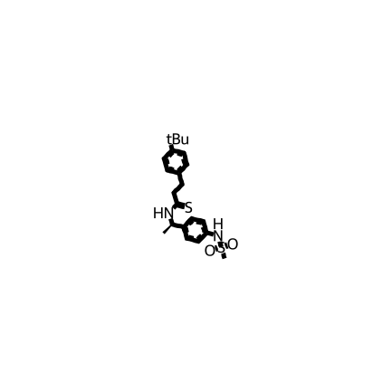 C[C@@H](NC(=S)CCc1ccc(C(C)(C)C)cc1)c1ccc(NS(C)(=O)=O)cc1